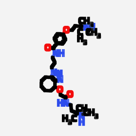 CNC(C)(C)CCNC(=O)COC1CCCCCc2c1nnn2CCCNC(=O)c1ccc(OCCC(C)(C)NC)cc1